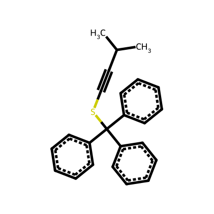 CC(C)C#CSC(c1ccccc1)(c1ccccc1)c1ccccc1